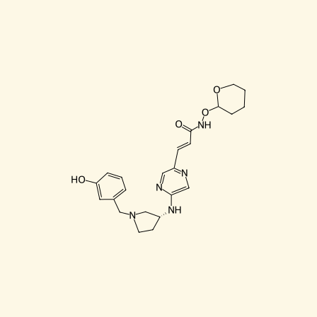 O=C(C=Cc1cnc(N[C@@H]2CCN(Cc3cccc(O)c3)C2)cn1)NOC1CCCCO1